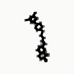 Cc1cc(C)nc(N2CCN(CCC/C=C/c3ccc4c(n3)NC(=O)CC4)CC2)c1